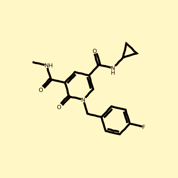 CNC(=O)c1cc(C(=O)NC2CC2)cn(Cc2ccc(F)cc2)c1=O